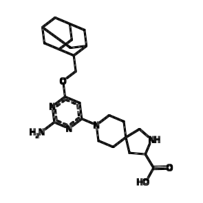 Nc1nc(OCC2C3CC4CC(C3)CC2C4)cc(N2CCC3(CC2)CNC(C(=O)O)C3)n1